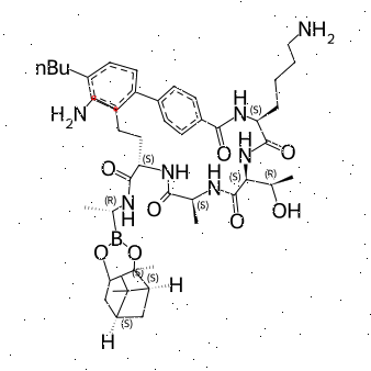 CCCCc1ccc(-c2ccc(C(=O)N[C@@H](CCCCN)C(=O)N[C@H](C(=O)N[C@@H](C)C(=O)N[C@@H](CCCCN)C(=O)N[C@@H](C)B3OC4C[C@@H]5C[C@@H](C5(C)C)[C@]4(C)O3)[C@@H](C)O)cc2)cc1